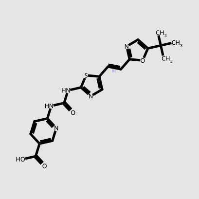 CC(C)(C)c1cnc(/C=C/c2cnc(NC(=O)Nc3ccc(C(=O)O)cn3)s2)o1